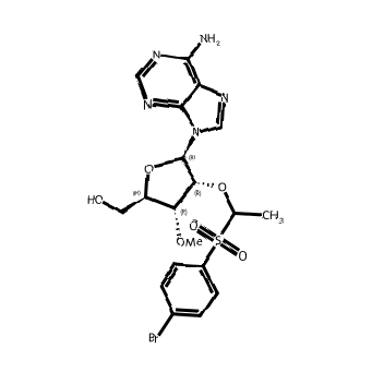 CO[C@H]1[C@@H](OC(C)S(=O)(=O)c2ccc(Br)cc2)[C@H](n2cnc3c(N)ncnc32)O[C@@H]1CO